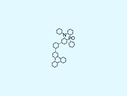 O=P1(c2ccccc2)c2ccccc2N(c2ccccc2)c2cc(-c3cccc(-c4ccc5c6ccccc6c6ccccc6c5c4)c3)ccc21